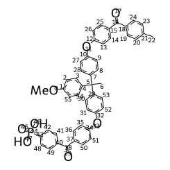 COc1ccc(C(C)(c2ccc(Oc3ccc(C(=O)c4ccc(C)cc4)cc3)cc2)c2ccc(Oc3ccc(C(=O)c4ccc(P(=O)(O)O)cc4)cc3)cc2)cc1